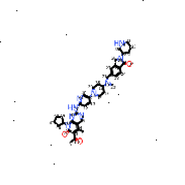 CC(=O)c1c(C)c2cnc(Nc3ccc(N4CCC(N(C)Cc5ccc6c(c5)CN(C5CCCNC5)C6=O)CC4)cn3)nc2n(C2CCCC2)c1=O